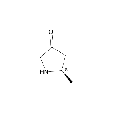 C[C@@H]1CC(=O)CN1